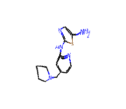 Nc1cnc(Nc2cc(CN3CCCC3)ccn2)s1